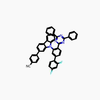 N#Cc1ccc(-c2ccc3c4ccccc4n(-c4cc(-c5ccc(F)cc5F)ccc4-c4nc(-c5ccccc5)nc(-c5ccccc5)n4)c3c2)cc1